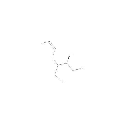 C/C=C\OC(CO)[C@@H](O)CO